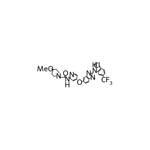 COC1CCN(CC(=O)Nc2cc(Oc3ccc4c(c3)nc(Nc3cc(C(F)(F)F)ccc3Cl)n4C)ccn2)CC1